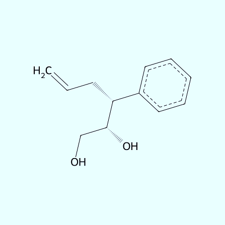 C=CC[C@H](c1ccccc1)[C@H](O)CO